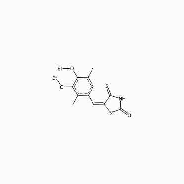 CCOc1c(C)cc(/C=C2/SC(=O)NC2=S)c(C)c1OCC